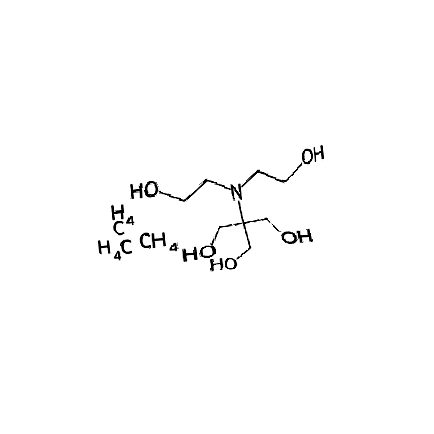 C.C.C.OCCN(CCO)C(CO)(CO)CO